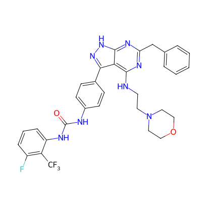 O=C(Nc1ccc(-c2n[nH]c3nc(Cc4ccccc4)nc(NCCN4CCOCC4)c23)cc1)Nc1cccc(F)c1C(F)(F)F